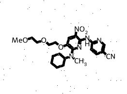 COCCOCCOc1cc([N+](=O)[O-])c(Nc2ccc(C#N)cn2)nc1N(C)C1CCCCC1